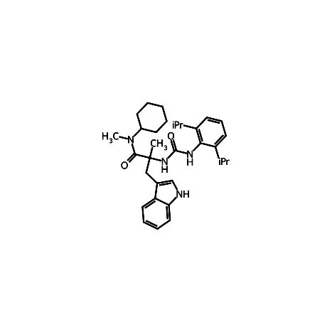 CC(C)c1cccc(C(C)C)c1NC(=O)NC(C)(Cc1c[nH]c2ccccc12)C(=O)N(C)C1CCCCC1